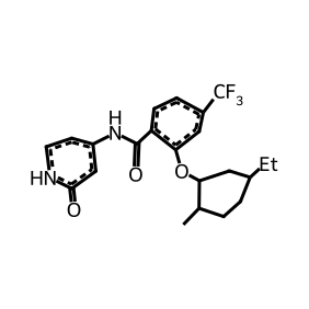 CCC1CCC(C)C(Oc2cc(C(F)(F)F)ccc2C(=O)Nc2cc[nH]c(=O)c2)C1